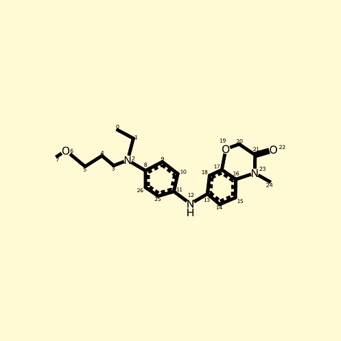 CCN(CCCOC)c1ccc(Nc2ccc3c(c2)OCC(=O)N3C)cc1